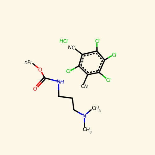 CCCOC(=O)NCCCN(C)C.Cl.N#Cc1c(Cl)c(Cl)c(Cl)c(C#N)c1Cl